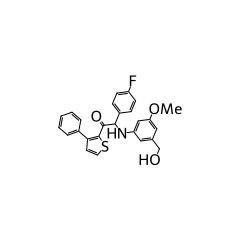 COc1cc(CO)cc(NC(C(=O)c2sccc2-c2ccccc2)c2ccc(F)cc2)c1